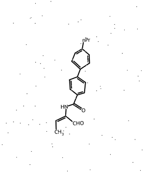 C/C=C(\C=O)NC(=O)c1ccc(-c2ccc(CCC)cc2)cc1